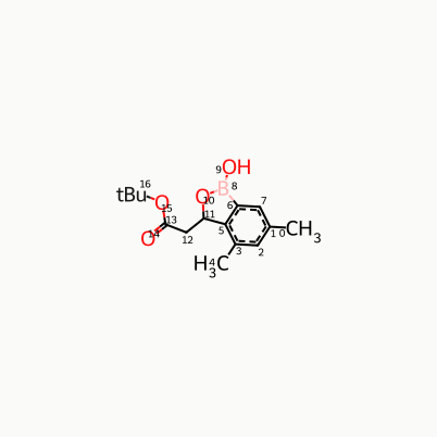 Cc1cc(C)c2c(c1)B(O)OC2CC(=O)OC(C)(C)C